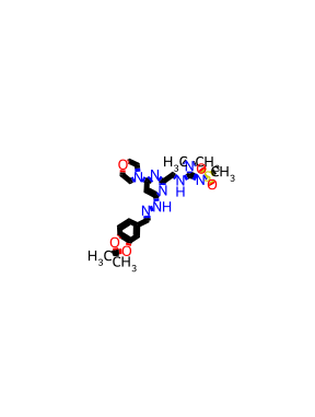 CN(C)/C(=N\S(C)(=O)=O)NCc1nc(N/N=C/c2ccc3c(c2)OC(C)(C)O3)cc(N2CCOCC2)n1